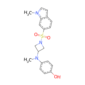 CN(c1ccc(O)cc1)C1CN(S(=O)(=O)c2ccc3ccn(C)c3c2)C1